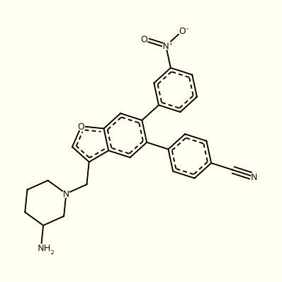 N#Cc1ccc(-c2cc3c(CN4CCCC(N)C4)coc3cc2-c2cccc([N+](=O)[O-])c2)cc1